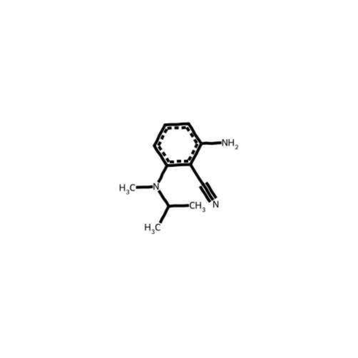 CC(C)N(C)c1cccc(N)c1C#N